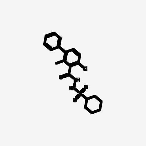 Cc1c(-c2ccccc2)ccc(Cl)c1C(=O)NNS(=O)(=O)C1CCCCC1